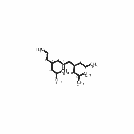 CCCC(CNCC(CCC)CC(C)C)CC(C)C